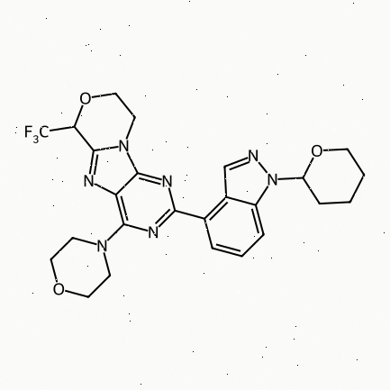 FC(F)(F)C1OCCn2c1nc1c(N3CCOCC3)nc(-c3cccc4c3cnn4C3CCCCO3)nc12